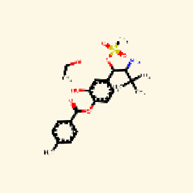 CCO.Cc1ccc(C(=O)Oc2ccc(C(OS(C)(=O)=O)C(N)C(C)(C)C)cc2O)cc1